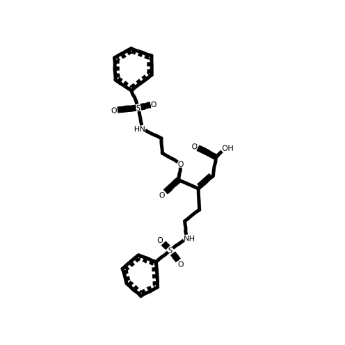 O=C(O)C=C(CCNS(=O)(=O)c1ccccc1)C(=O)OCCNS(=O)(=O)c1ccccc1